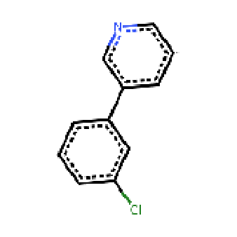 Clc1cccc(-c2c[c]cnc2)c1